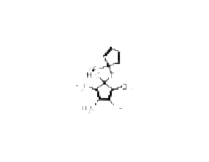 CCC[C]1([Ti][C]2(C)C(C)=C(C)C(C)=C2C)C=CC=C1